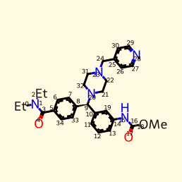 CCN(CC)C(=O)c1ccc([C@H](c2cccc(NC(=O)OC)c2)N2CCN(Cc3ccncc3)CC2)cc1